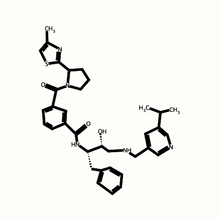 Cc1csc(C2CCCN2C(=O)c2cccc(C(=O)N[C@@H](Cc3ccccc3)[C@H](O)CNCc3cncc(C(C)C)c3)c2)n1